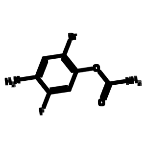 NC(=O)Oc1cc(F)c(N)cc1Br